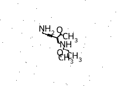 CC[C@H](N/C=C(/C#CCN)C(C)=O)OC